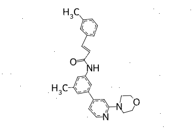 Cc1cccc(/C=C/C(=O)Nc2cc(C)cc(-c3ccnc(N4CCOCC4)c3)c2)c1